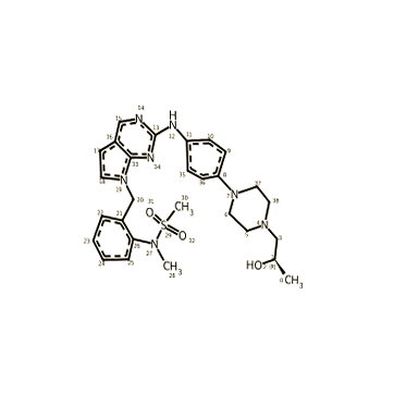 C[C@@H](O)CN1CCN(c2ccc(Nc3ncc4ccn(Cc5ccccc5N(C)S(C)(=O)=O)c4n3)cc2)CC1